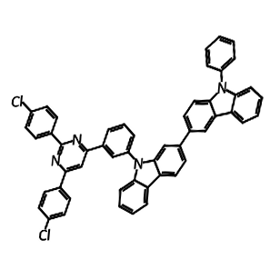 Clc1ccc(-c2cc(-c3cccc(-n4c5ccccc5c5ccc(-c6ccc7c(c6)c6ccccc6n7-c6ccccc6)cc54)c3)nc(-c3ccc(Cl)cc3)n2)cc1